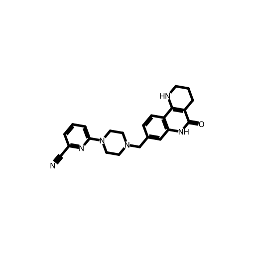 N#Cc1cccc(N2CCN(Cc3ccc4c5c(c(=O)[nH]c4c3)CCCN5)CC2)n1